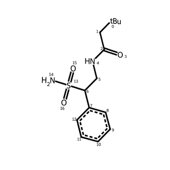 CC(C)(C)CC(=O)NCC(c1ccccc1)S(N)(=O)=O